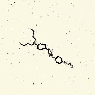 CCCCN(CCCC)c1ccc(N=Nc2ccc(N)cc2)cc1